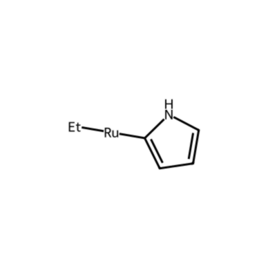 C[CH2][Ru][c]1ccc[nH]1